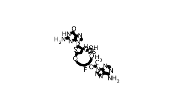 C[C@@H](O[C@@H]1COP(O)(=S)O[C@@H]2CC(OCC[C@H]1F)S[C@H]2n1cnc2c(=O)[nH]c(N)nc21)n1nnc2c(N)ncnc21